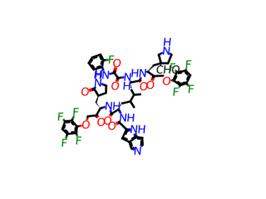 CC(C[C@H](NC(=O)C(=O)Nc1ccccc1F)C(=O)N[C@@H](C[C@]1(C=O)CCNC1)C(=O)COc1c(F)c(F)cc(F)c1F)C(C)C[C@H](NC(=O)c1cc2cnccc2[nH]1)C(=O)N[C@@H](C[C@@H]1CCNC1=O)C(=O)COc1c(F)c(F)cc(F)c1F